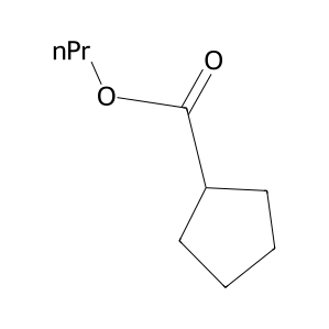 [CH2]CCOC(=O)C1CCCC1